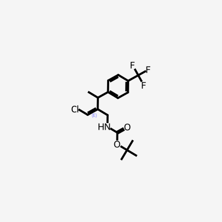 CC(/C(=C\Cl)CNC(=O)OC(C)(C)C)c1ccc(C(F)(F)F)cc1